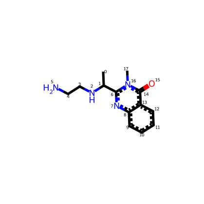 CC(NCCN)c1nc2ccccc2c(=O)n1C